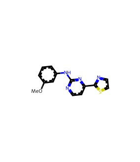 COc1cccc(Nc2nccc(-c3nccs3)n2)c1